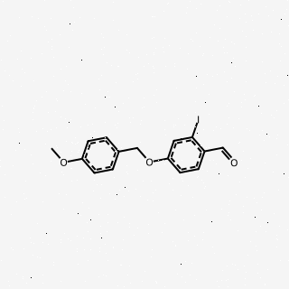 COc1ccc(COc2ccc(C=O)c(I)c2)cc1